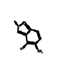 Cn1cc2c(Cl)c(N)ccc2n1